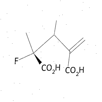 C=C(C(=O)O)C(C)[C@@](C)(F)C(=O)O